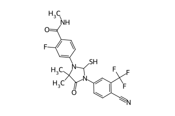 CNC(=O)c1ccc(N2C(S)N(c3ccc(C#N)c(C(F)(F)F)c3)C(=O)C2(C)C)cc1F